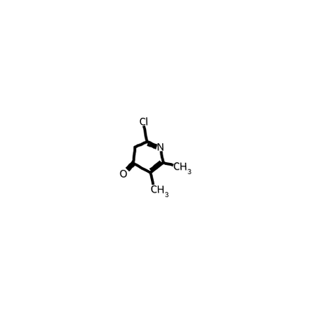 CC1=C(C)C(=O)CC(Cl)=N1